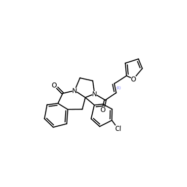 O=C(/C=C/c1ccco1)N1CCN2C(=O)c3ccccc3CC12c1ccc(Cl)cc1